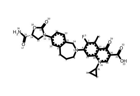 Cc1c(F)c(N2CCCc3cc(N4C[C@H](C(N)=O)OC4=O)ccc3C2)cc2c1c(=O)c(C(=O)O)cn2C1CC1